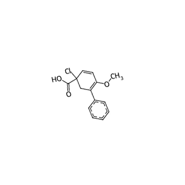 COC1=C(c2ccccc2)CC(Cl)(C(=O)O)C=C1